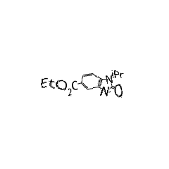 CCOC(=O)c1ccc2c(c1)[N]C(=O)N2C(C)C